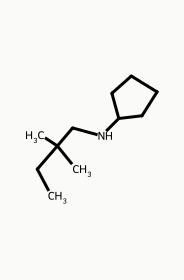 CCC(C)(C)CNC1CCCC1